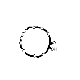 O=C1CCCCCCCCCCCCCCCCCCCC1O